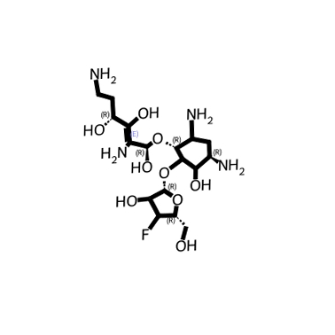 NCC[C@@H](O)/C(O)=C(\N)[C@H](O)O[C@@H]1C(N)C[C@@H](N)C(O)C1O[C@@H]1O[C@H](CO)C(F)C1O